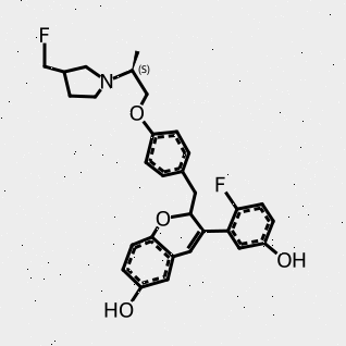 C[C@@H](COc1ccc(CC2Oc3ccc(O)cc3C=C2c2cc(O)ccc2F)cc1)N1CCC(CF)C1